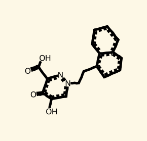 O=C(O)c1nn(CCc2cccc3ccccc23)cc(O)c1=O